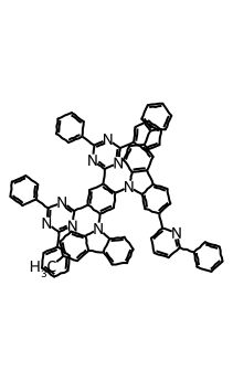 Cc1ccc2c(c1)c1ccccc1n2-c1cc(-n2c3ccc(-c4ccccc4)cc3c3ccc(-c4cccc(-c5ccccc5)n4)cc32)c(-c2nc(-c3ccccc3)nc(-c3ccccc3)n2)cc1-c1nc(-c2ccccc2)nc(-c2ccccc2)n1